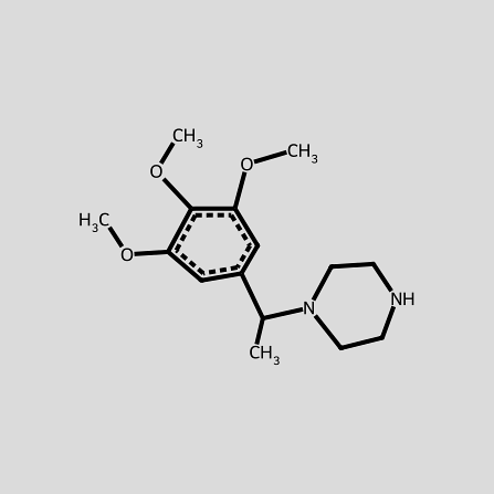 COc1cc(C(C)N2CCNCC2)cc(OC)c1OC